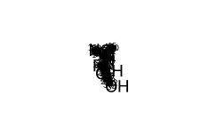 Cc1ccc(Sn2c(C3=CCN(C)CC3)cc3c(-c4cc(F)cc(NC(=O)c5ccc(C(C)(C)O)cc5F)c4C)ncnc32)cc1